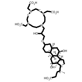 C[C@H](CCC(=O)O)[C@H]1CC[C@H]2[C@@H]3[C@H](O)C[C@@H]4CC(OCC(O)CN5CCN(CC(=O)O)CCN(CC(=O)O)CCN(CC(=O)O)CC5)CC[C@]4(C)[C@H]3C[C@@H](O)[C@]12C